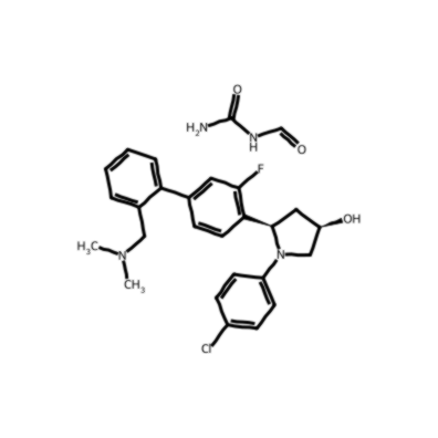 CN(C)Cc1ccccc1-c1ccc([C@H]2C[C@@H](O)CN2c2ccc(Cl)cc2)c(F)c1.NC(=O)NC=O